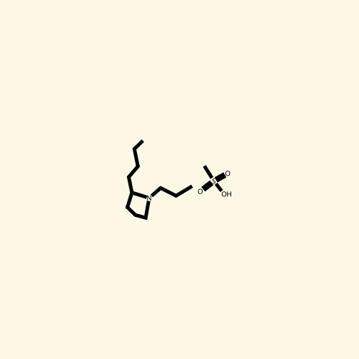 CCCCC1CCCN1CCC.CS(=O)(=O)O